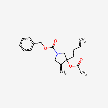 C=CCCC1(OC(C)=O)CN(C(=O)OCc2ccccc2)CC1=C